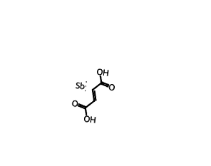 O=C(O)C=CC(=O)O.[Sb]